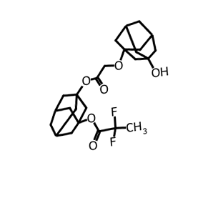 CC(F)(F)C(=O)OC12CC3CC(CC(OC(=O)COC45CC6CC(CC(O)(C6)C4)C5)(C3)C1)C2